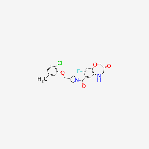 Cc1ccc(Cl)c(OCC2CN(C(=O)c3cc4c(cc3F)OCC(=O)CN4)C2)c1